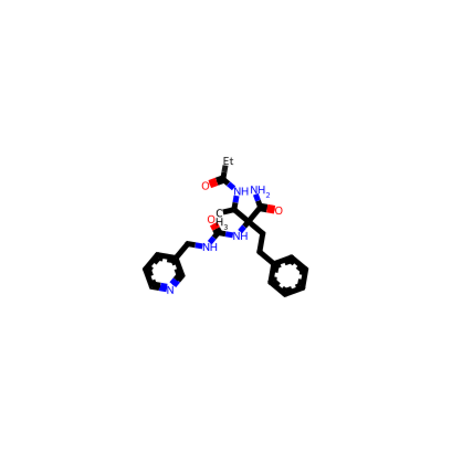 CCC(=O)NC(C)C(CCc1ccccc1)(NC(=O)NCc1cccnc1)C(N)=O